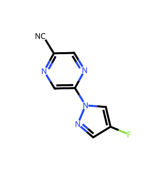 N#Cc1cnc(-n2cc(F)cn2)cn1